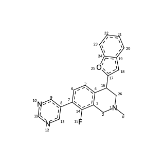 CN1Cc2c(ccc(-c3cncnc3)c2F)C(c2cc3ccccc3o2)C1